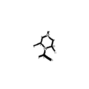 C=C(C)N1C(C)CN(C)CC1C